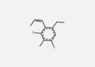 C/C=C\c1c(CC)cc(F)c(C)c1F